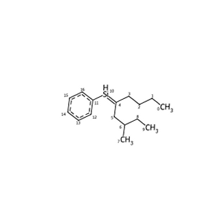 CCCCC(CC(C)CC)=[SiH]c1ccccc1